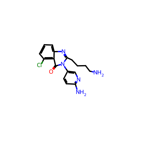 NCCCCc1nc2cccc(Cl)c2c(=O)n1-c1ccc(N)nc1